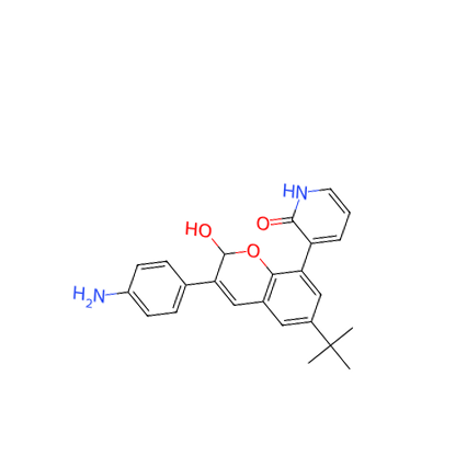 CC(C)(C)c1cc2c(c(-c3ccc[nH]c3=O)c1)OC(O)C(c1ccc(N)cc1)=C2